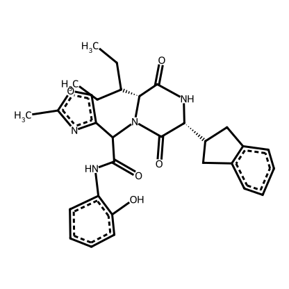 CCC(CC)[C@@H]1C(=O)N[C@H](C2Cc3ccccc3C2)C(=O)N1C(C(=O)Nc1ccccc1O)c1coc(C)n1